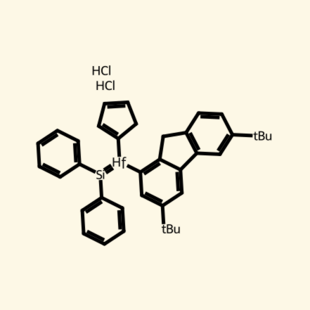 CC(C)(C)c1ccc2c(c1)-c1cc(C(C)(C)C)c[c]([Hf]([C]3=CC=CC3)=[Si](c3ccccc3)c3ccccc3)c1C2.Cl.Cl